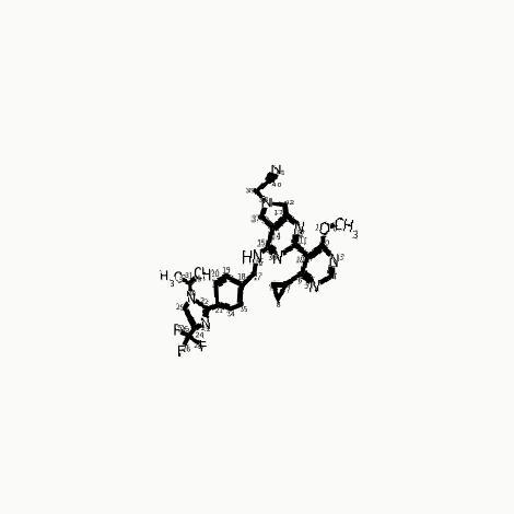 COc1ncnc(C2CC2)c1-c1nc2c(c(NCc3ccc(-c4nc(C(F)(F)F)cn4C(C)C)cc3)n1)CN(CC#N)C2